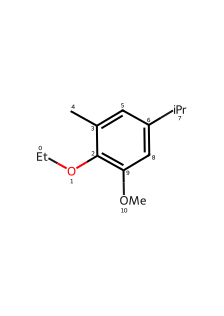 CCOc1c(C)cc(C(C)C)cc1OC